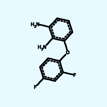 Nc1cccc(Oc2ccc(F)cc2F)c1N